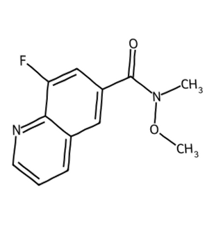 CON(C)C(=O)c1cc(F)c2ncccc2c1